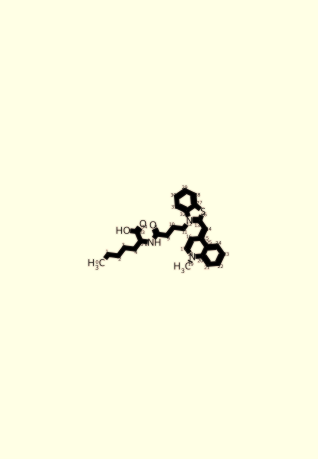 CCCCCC(NC(=O)CCC[n+]1c(C=C2C=CN(C)c3ccccc32)sc2ccccc21)C(=O)O